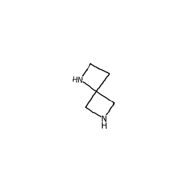 C1CC2(CNC2)N1